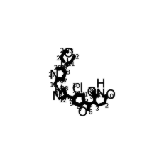 O=C1CCC(c2coc3cc(-c4cnn(Cc5ccc(N6CCOCC6)cn5)c4)c(Cl)cc23)C(=O)N1